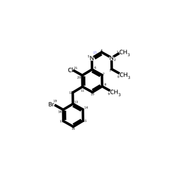 CCN(C)/C=N\c1cc(C)cc(Cc2ccccc2Br)c1Cl